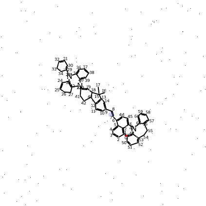 Cc1cccc2c(/C=C/c3ccc4c(c3)C(C)(C)C3C=C(N5C6=C(C=CCC6)N(C6=CC=CCC6)c6ccccc65)CCC43)ccc(N3c4ccccc4CCc4ccccc43)c12